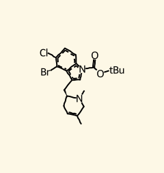 CC1=CC[C@@H](Cc2cn(C(=O)OC(C)(C)C)c3ccc(Cl)c(Br)c23)N(C)C1